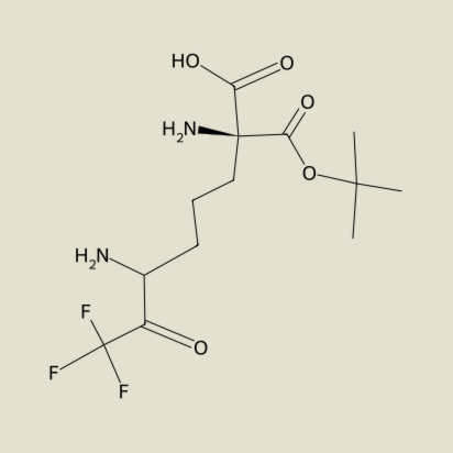 CC(C)(C)OC(=O)[C@](N)(CCCC(N)C(=O)C(F)(F)F)C(=O)O